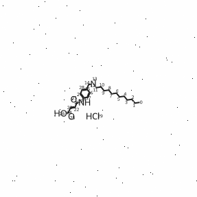 CCCCCCCCCCCCN(C)Cc1ccc(NC(=O)C=CC(=O)O)cc1.Cl